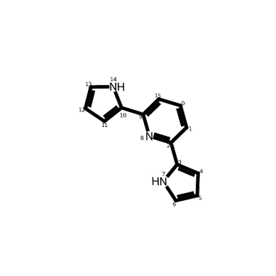 c1cc(-c2ccc[nH]2)nc(-c2ccc[nH]2)c1